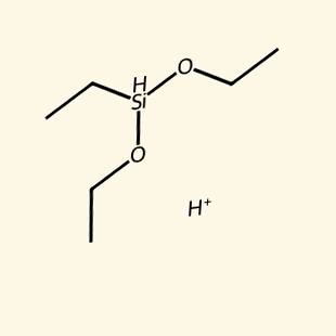 CCO[SiH](CC)OCC.[H+]